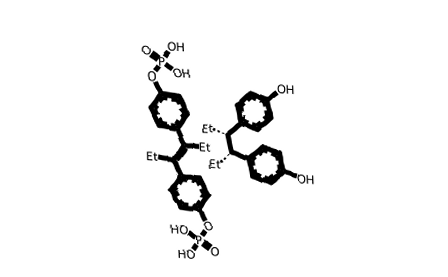 CC/C(=C(/CC)c1ccc(OP(=O)(O)O)cc1)c1ccc(OP(=O)(O)O)cc1.CC[C@H](c1ccc(O)cc1)[C@@H](CC)c1ccc(O)cc1